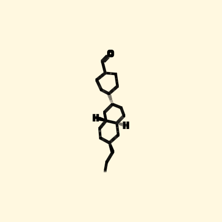 CCC[C@H]1CC[C@@H]2C[C@H](C3CCC(C=O)CC3)CC[C@H]2C1